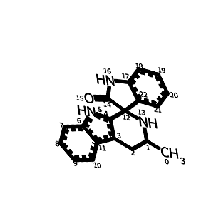 CC1Cc2c([nH]c3ccccc23)C2(N1)C(=O)Nc1ccccc12